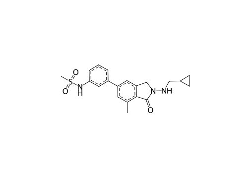 Cc1cc(-c2cccc(NS(C)(=O)=O)c2)cc2c1C(=O)N(NCC1CC1)C2